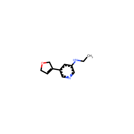 CCNc1cncc(C2=CCOC2)c1